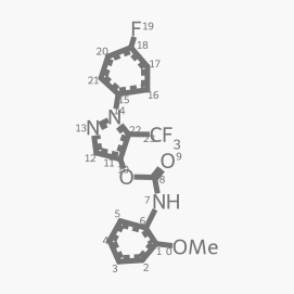 COc1ccccc1NC(=O)Oc1cnn(-c2ccc(F)cc2)c1C(F)(F)F